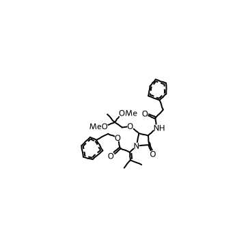 COC(C)(COC1C(NC(=O)Cc2ccccc2)C(=O)N1C(C(=O)OCc1ccccc1)=C(C)C)OC